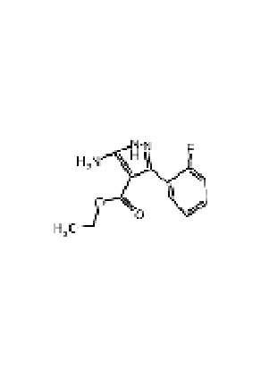 CCOC(=O)c1c(-c2ccccc2F)n[nH]c1N